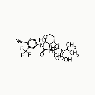 CC(C)N(C(=O)O)[C@H]1C[C@@]23CCO[C@H]4[C@@H]2[C@H](C(=O)N4c2ccc(C#N)c(C(F)(F)F)c2)[C@]1(C)O3